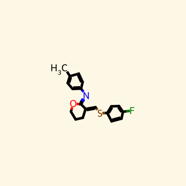 Cc1ccc(N=C2OCCC/C2=C\Sc2ccc(F)cc2)cc1